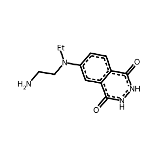 CCN(CCN)c1ccc2c(=O)[nH][nH]c(=O)c2c1